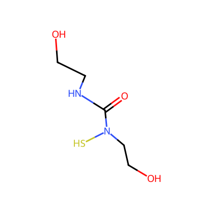 O=C(NCCO)N(S)CCO